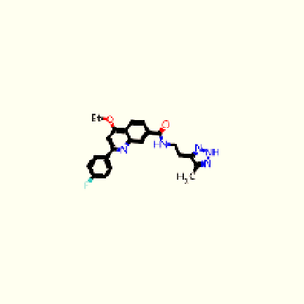 CCOc1cc(-c2ccc(F)cc2)nc2cc(C(=O)NCCc3n[nH]nc3C)ccc12